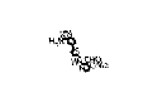 COc1ccnc(NCc2ccc(-c3ccc4ncnc(N)c4c3)s2)c1C=O